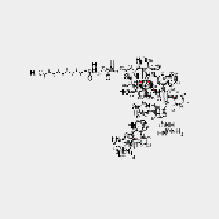 CCCCCCCCCCCC(=O)NCCC(=O)NCCCCC(NC(=O)[C@H](CO)NC(C)=O)C(=O)NC(CO)C(=O)N[C@@H](Cc1ccccc1)C(=O)N[C@@H](CCC(=O)O)C(=O)N1C[C@H](O)CC1C(=O)N[C@H](Cc1ccccc1)C(=O)NC(CCCNC(=N)N)C(=O)NC(Cc1c[nH]c2ccccc12)C(=O)NCC(=O)NC(CCCCN)C(=O)N1CCCC1C(=O)N[C@H](C(N)=O)C(C)C